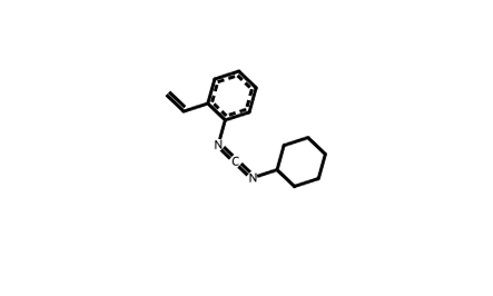 C=Cc1ccccc1N=C=NC1CCCCC1